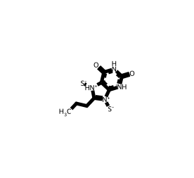 CCCC1=[N+]([S-])c2[nH]c(=O)[nH]c(=O)c2[NH+]1[S-]